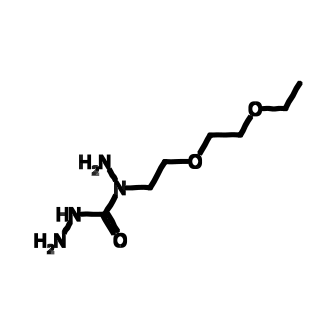 CCOCCOCCN(N)C(=O)NN